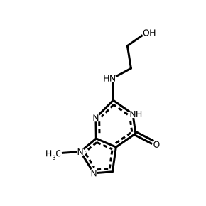 Cn1ncc2c(=O)[nH]c(NCCO)nc21